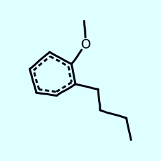 CCCCc1ccccc1OC